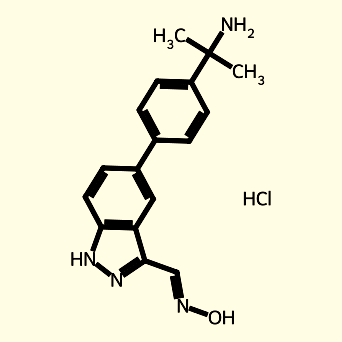 CC(C)(N)c1ccc(-c2ccc3[nH]nc(C=NO)c3c2)cc1.Cl